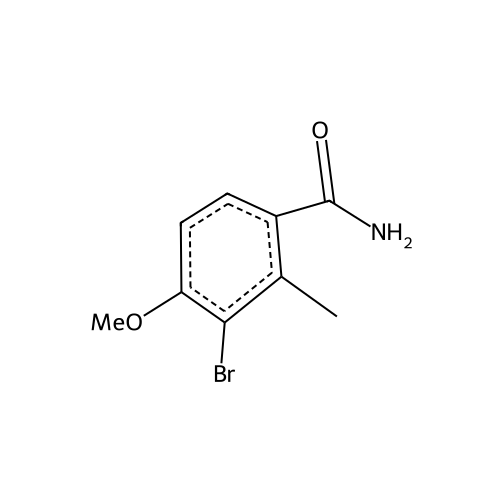 COc1ccc(C(N)=O)c(C)c1Br